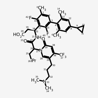 Cc1cc(-c2c(C)cc(C3CC3)cc2C)c(F)c([C@H](CC(=O)O)NC(=O)C(CC(C)C)n2cc(CCCN(C)C)c(C(F)(F)F)cc2=O)c1F